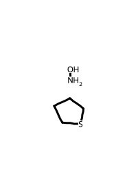 C1CCSC1.NO